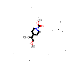 CCOCC(C=O)C1CCN(C(=O)OC(C)(C)C)CC1